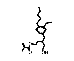 C=C(C)C(=O)OCCC(CCO)Cc1ccc(CCCCC)c(CC)c1